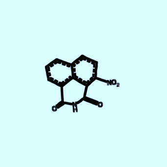 O=C1NC(=O)c2c([N+](=O)[O-])ccc3cccc1c23